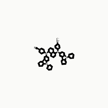 [C-]#[N+]c1ccc(N(c2ccc3c(c2)c2ccccc2n3-c2ccccc2)c2cccc3c(N(c4ccc(C#N)cc4)c4ccc5c(c4)c4ccccc4n5-c4ccccc4)cccc23)cc1